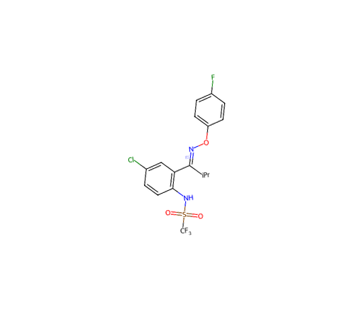 CC(C)/C(=N\Oc1ccc(F)cc1)c1cc(Cl)ccc1NS(=O)(=O)C(F)(F)F